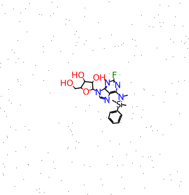 CN(c1nc(F)nc2c1ncn2C1OC(CO)C(O)C1O)[Si](C)(C)c1ccccc1